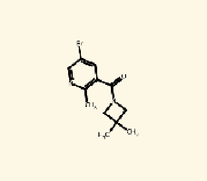 Cc1ncc(Br)cc1C(=O)N1CC(C)(C)C1